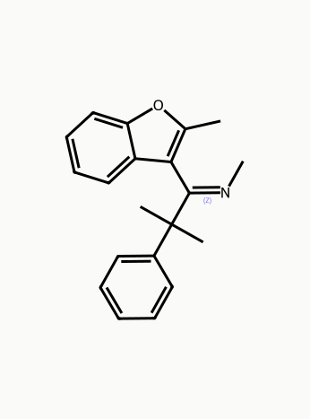 C/N=C(\c1c(C)oc2ccccc12)C(C)(C)c1ccccc1